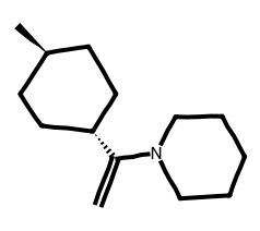 C=C([C@H]1CC[C@H](C)CC1)N1CCCCC1